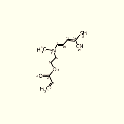 C=CC(=O)OCCN(C)/C=C/C=C(/S)C#N